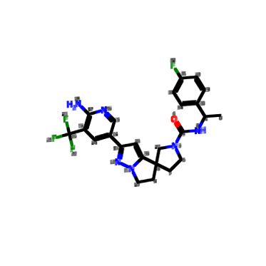 CC(NC(=O)N1CCC2(CCn3nc(-c4cnc(N)c(C(F)(F)F)c4)cc32)C1)c1ccc(F)cc1